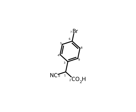 N#CC(C(=O)O)c1ccc(Br)cc1